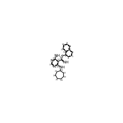 N=C(Sc1cccc2ccccc12)c1c(N)ncnc1NC1CCCCCC1